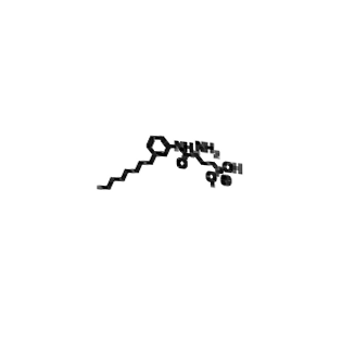 CCCCCCCCc1cccc(NC(=O)[C@H](N)CCP(=O)(O)OC)c1